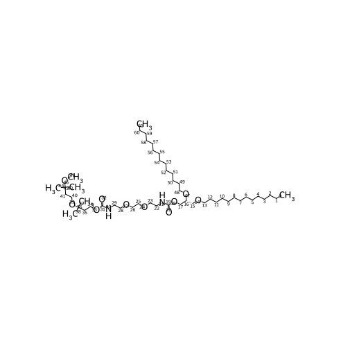 CCCCCCCCCCCCCCOC[C@H](COC(=O)NCCOCCOCCNC(=O)OCCC(C)(C)OCCC(C)(C)OC)OCCCCCCCCCCCCCC